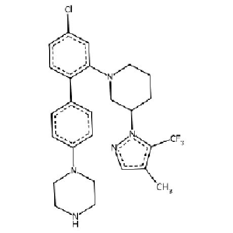 Cc1cnn(C2CCCN(c3cc(Cl)ccc3-c3ccc(N4CCNCC4)cc3)C2)c1C(F)(F)F